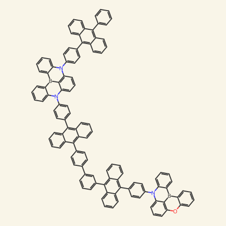 c1ccc(-c2c3ccccc3c(-c3ccc(N4c5ccccc5B5c6ccccc6N(c6ccc(-c7c8ccccc8c(-c8ccc(-c9cccc(-c%10c%11ccccc%11c(-c%11ccc(N%12c%13ccccc%13B%13c%14ccccc%14Oc%14cccc%12c%14%13)cc%11)c%11ccccc%10%11)c9)cc8)c8ccccc78)cc6)c6cccc4c65)cc3)c3ccccc23)cc1